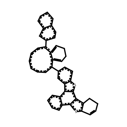 C1=Cc2sc3c4ccccc4c4c5cc(-c6ccccccc(-c7ccc8ccccc8c7)c7c6=CCCC=7)ccc5sc4c3c2CC1